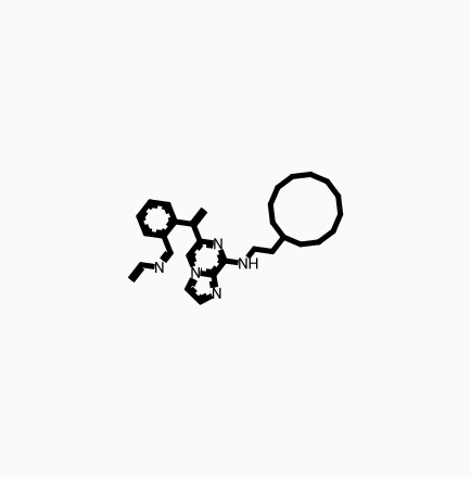 C=C/N=C\c1ccccc1C(=C)c1cn2ccnc2c(NCCC2CCCCCCCCCCC2)n1